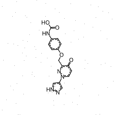 O=C(O)Nc1ccc(OCc2nn(-c3cn[nH]c3)ccc2=O)cc1